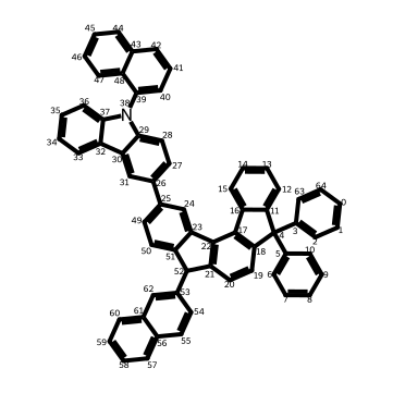 c1ccc(C2(c3ccccc3)c3ccccc3-c3c2ccc2c3-c3cc(-c4ccc5c(c4)c4ccccc4n5-c4cccc5ccccc45)ccc3C2c2ccc3ccccc3c2)cc1